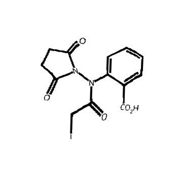 O=C(O)c1ccccc1N(C(=O)CI)N1C(=O)CCC1=O